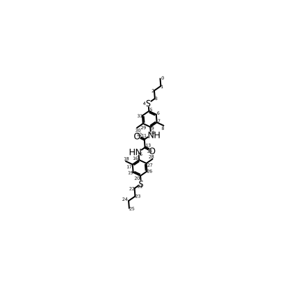 CCCCSc1cc(C)c(NC(=O)C(=O)Nc2c(C)cc(SCCCC)cc2C)c(C)c1